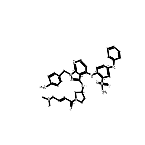 COc1ccc(Cn2nc(NC3CCN(C(=O)/C=C/CN(C)C)C3)c3c(Oc4ccc(Oc5ccccc5)cc4S(N)(=O)=O)ccnc32)cc1